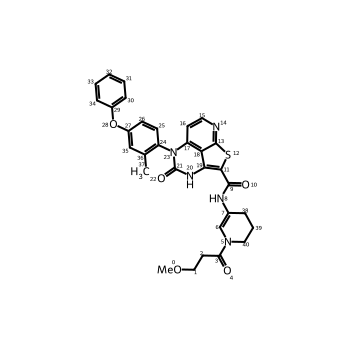 COCCC(=O)N1C=C(NC(=O)c2sc3nccc4c3c2NC(=O)N4c2ccc(Oc3ccccc3)cc2C)CCC1